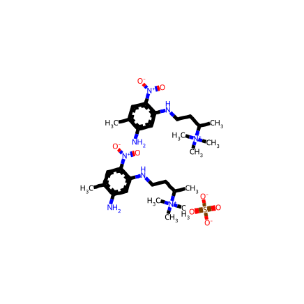 Cc1cc([N+](=O)[O-])c(NCCC(C)[N+](C)(C)C)cc1N.Cc1cc([N+](=O)[O-])c(NCCC(C)[N+](C)(C)C)cc1N.O=S(=O)([O-])[O-]